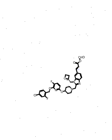 O=COC(=O)/C=C/c1ccc2nc(CN3CCC(Oc4ccc(F)c(OCc5ccc(Cl)cc5F)n4)CC3)n(C[C@@H]3CCO3)c2c1